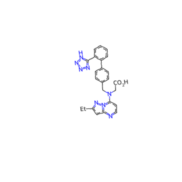 CCc1cc2nccc(N(CC(=O)O)Cc3ccc(-c4ccccc4-c4nnn[nH]4)cc3)n2n1